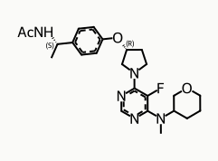 CC(=O)N[C@@H](C)c1ccc(O[C@@H]2CCN(c3ncnc(N(C)C4CCCOC4)c3F)C2)cc1